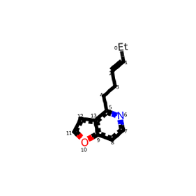 [CH2]CC=CCCc1nccc2occc12